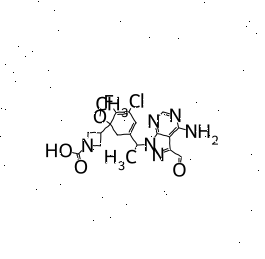 COC1(C2CN(C(=O)O)C2)CC(C(C)n2nc(C=O)c3c(N)ncnc32)=CC(Cl)=C1F